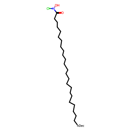 CCCCCCCCCCCCCCCCCCCCCCCCCCCCCCCCCC(=O)N(O)Cl